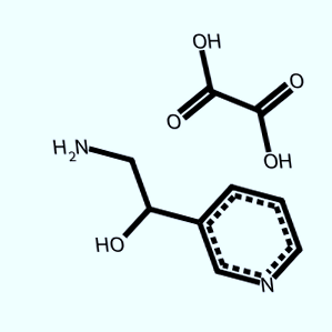 NCC(O)c1cccnc1.O=C(O)C(=O)O